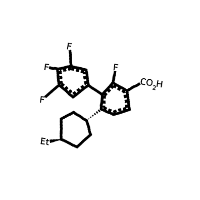 CC[C@H]1CC[C@H](c2ccc(C(=O)O)c(F)c2-c2cc(F)c(F)c(F)c2)CC1